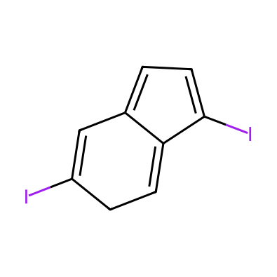 IC1=CC2=CC=C(I)C2=CC1